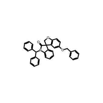 O=C1N(C(c2ccccc2)c2ccccc2)c2ccccc2C12COc1ccc(OCc3ccccc3)cc12